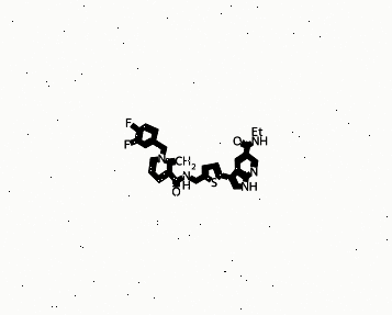 C=C1C(C(=O)NCc2ccc(-c3c[nH]c4ncc(C(=O)NCC)cc34)s2)=CC=CN1Cc1ccc(F)c(F)c1